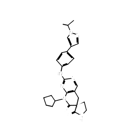 CC(C)n1cc(-c2ccc(Nc3ncc4c(n3)N(C3CCCC3)C(=O)[C@]3(CCNC3=O)C4)cc2)cn1